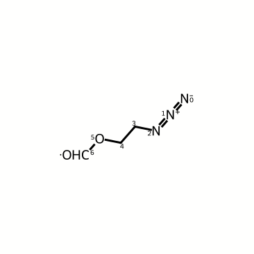 [N-]=[N+]=NCCO[C]=O